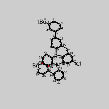 CC(C)(C)c1cccc(-c2ccc3c(c2)Sc2cc(Cl)cc4c2B3c2ccc(Br)cc2N4c2ccccc2-c2ccccc2)c1